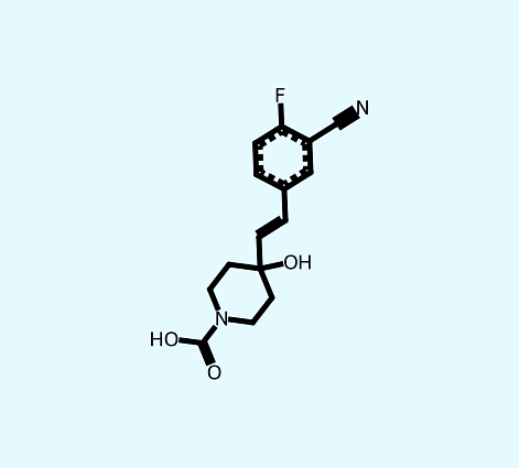 N#Cc1cc(/C=C/C2(O)CCN(C(=O)O)CC2)ccc1F